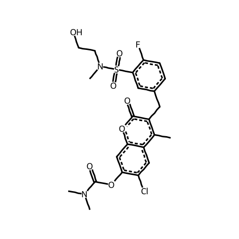 Cc1c(Cc2ccc(F)c(S(=O)(=O)N(C)CCO)c2)c(=O)oc2cc(OC(=O)N(C)C)c(Cl)cc12